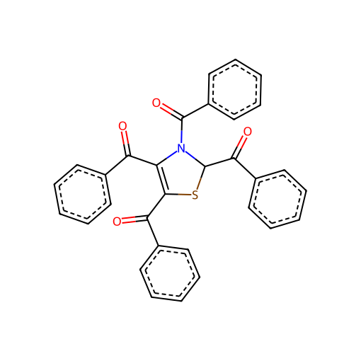 O=C(C1=C(C(=O)c2ccccc2)N(C(=O)c2ccccc2)C(C(=O)c2ccccc2)S1)c1ccccc1